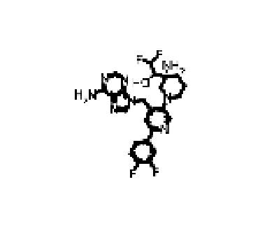 Nc1ncnc2c1ncn2Cc1cc(-c2ccc(F)c(F)c2)ncc1N1CCC[C@](N)([C@@H](O)C(F)F)C1